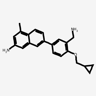 Cc1cc(N)cc2cc(-c3ccc(OCC4CC4)c(CN)c3)ccc12